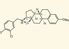 COc1ccc2c(c1)CC[C@@H]1[C@@H]2CC[C@]2(C)[C@@H](NCc3ccc(Cl)c(Cl)c3)CC[C@@H]12